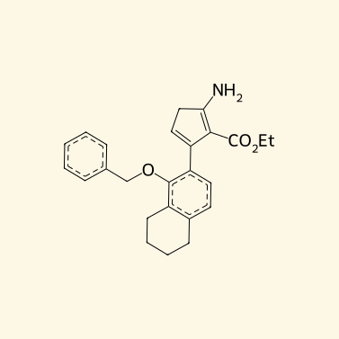 CCOC(=O)C1=C(N)CC=C1c1ccc2c(c1OCc1ccccc1)CCCC2